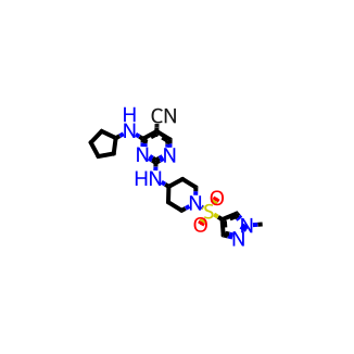 Cn1cc(S(=O)(=O)N2CCC(Nc3ncc(C#N)c(NC4CCCC4)n3)CC2)cn1